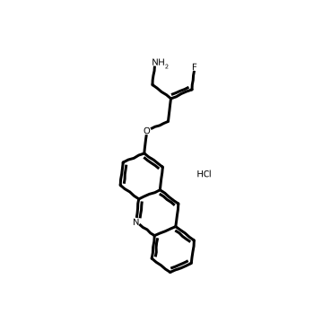 Cl.NC/C(=C\F)COc1ccc2nc3ccccc3cc2c1